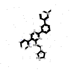 C=C/C(=C\N(C)C)c1cccc(-c2ncc(C(/C=C\C)=N/C)c(NC[C@H]3CCNC3)n2)c1